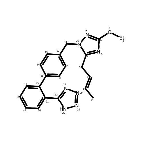 CC=CCc1nc(OCC)nn1Cc1ccc(-c2ccccc2-c2nnn[nH]2)cc1